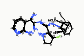 N=C(/N=C(/N[C@H]1C2CCC(CC2)[C@@H]1C(=O)O)C1=C(F)CCN1)C(=N)c1cccnc1N